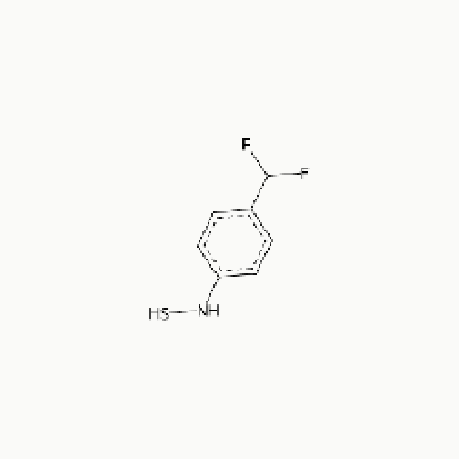 FC(F)c1ccc(NS)cc1